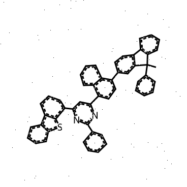 CC1(c2ccccc2)c2ccccc2-c2ccc(-c3ccc(-c4cc(-c5cccc6c5sc5ccccc56)nc(-c5ccccc5)n4)c4ccccc34)cc21